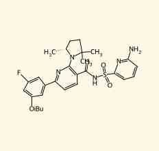 CC(C)COc1cc(F)cc(-c2ccc(C(=O)NS(=O)(=O)c3cccc(N)n3)c(N3[C@H](C)CCC3(C)C)n2)c1